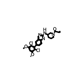 C=CC(=O)N1CCCC(Nc2ncc3cc(-c4c(Cl)c(OC)cc(OC)c4Cl)ccc3n2)C1